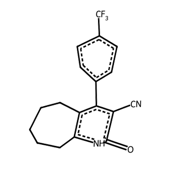 N#Cc1c(-c2ccc(C(F)(F)F)cc2)c2c([nH]c1=O)CCCCC2